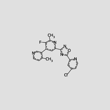 Cc1ccncc1-c1cc(-c2noc(-c3cc(Cl)ccn3)n2)nc(C)c1F